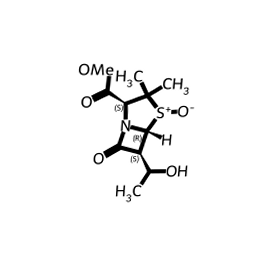 COC(=O)[C@@H]1N2C(=O)[C@H](C(C)O)[C@H]2[S+]([O-])C1(C)C